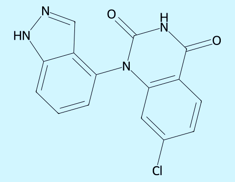 O=c1[nH]c(=O)n(-c2cccc3[nH]ncc23)c2cc(Cl)ccc12